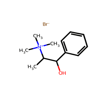 CC(C(O)c1ccccc1)[N+](C)(C)C.[Br-]